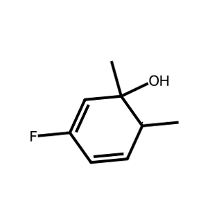 C[C]1C=CC(F)=CC1(C)O